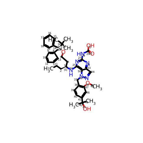 CCC[C@@H](CCO[Si](c1ccccc1)(c1ccccc1)C(C)(C)C)Nc1nc(NC(=O)O)nc2cnn(Cc3ccc(C(C)(C)O)cc3OC)c12